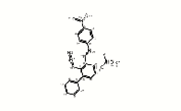 CCO.[K+].[N-]=[N+]=Nc1c(N=Nc2ccc([N+](=O)[O-])cc2)cccc1-c1ccccc1.[OH-]